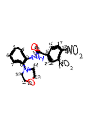 O=C(Nc1ccccc1N1CCOCC1)c1ccc([N+](=O)[O-])c([N+](=O)[O-])c1